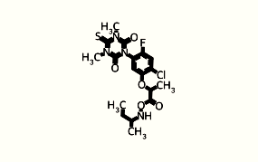 CCC(C)NOC(=O)C(C)Oc1cc(-n2c(=O)n(C)c(=S)n(C)c2=O)c(F)cc1Cl